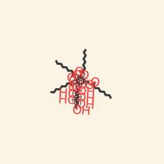 CCCCCCCC(=O)OC[C@H]1O[C@@H](OC(O)[C@@H](O)[C@@H](O)[C@H](O)[C@H](O)CO)[C@@H](OC(=O)CCCCCCC)[C@@H](OC(=O)CCCCCCC)[C@@H]1OC(=O)CCCCCCC